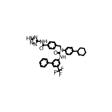 O=C(Nc1nn[nH]n1)c1ccc(CN(C(=O)Nc2cc(-c3ccccc3)cc(C(F)(F)F)c2)c2ccc(C3CCCCC3)cc2)cc1